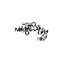 COC(=O)NCCCc1cc([C@@H](C)N(C(=O)[C@H]2CNCCO2)C2CC2)sc1-c1cccc(C(=N)NN)c1